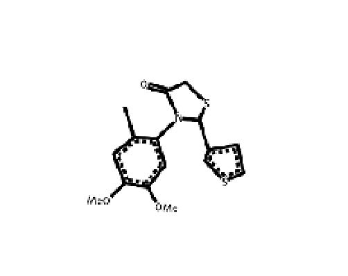 COc1cc(C)c(N2C(=O)CSC2c2ccsc2)cc1OC